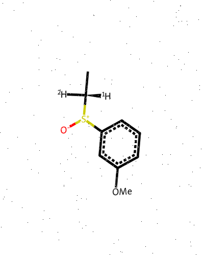 [1H][C@@]([2H])(C)[S+]([O-])c1cccc(OC)c1